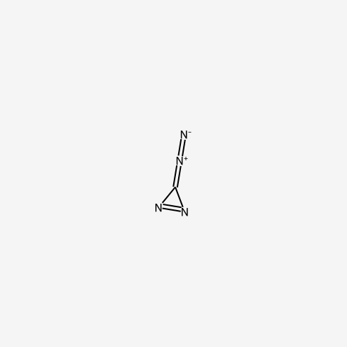 [N-]=[N+]=c1nn1